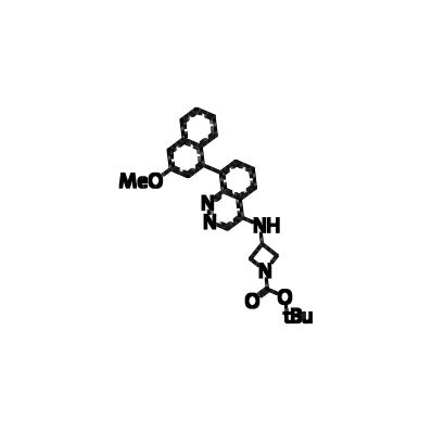 COc1cc(-c2cccc3c(NC4CN(C(=O)OC(C)(C)C)C4)cnnc23)c2ccccc2c1